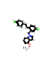 O=C(O)Oc1cccc2c1ccn2Cc1cc(Cl)ccc1CCc1ccc(Cl)cc1F